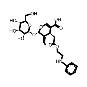 C/C=C1/[C@H](O[C@@H]2O[C@H](CO)[C@@H](O)[C@H](O)[C@H]2O)OC=C(C(=O)O)[C@H]1CC(=O)OCCNc1ccccc1